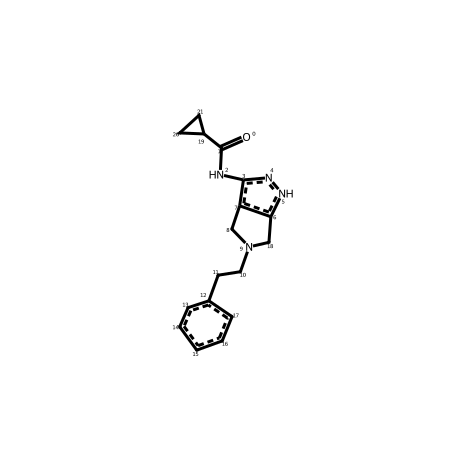 O=C(Nc1n[nH]c2c1CN(CCc1ccccc1)C2)C1CC1